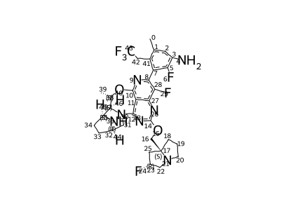 Cc1cc(N)c(F)c(-c2nc3c4c(nc(OC[C@@]56CCCN5C[C@H](F)C6)nc4c2F)N2C[C@H]4CC[C@H](N4)[C@H]2[C@H](C)O3)c1CC(F)(F)F